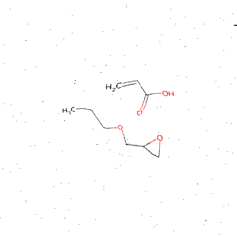 C=CC(=O)O.CCCOCC1CO1